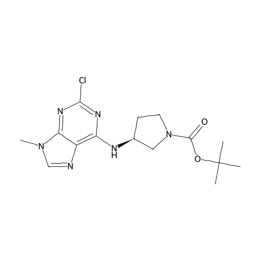 Cn1cnc2c(N[C@H]3CCN(C(=O)OC(C)(C)C)C3)nc(Cl)nc21